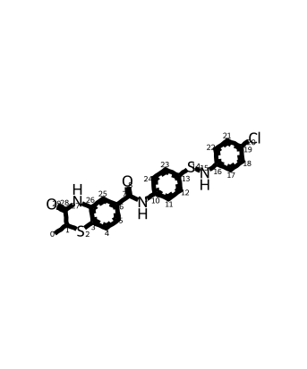 CC1Sc2ccc(C(=O)Nc3ccc(SNc4ccc(Cl)cc4)cc3)cc2NC1=O